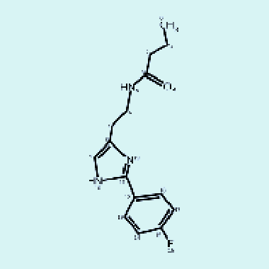 CCCC(=O)NCCc1c[nH]c(-c2ccc(F)cc2)n1